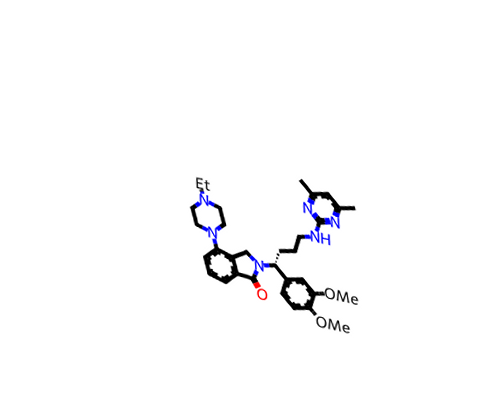 CCN1CCN(c2cccc3c2CN([C@H](CCCNc2nc(C)cc(C)n2)c2ccc(OC)c(OC)c2)C3=O)CC1